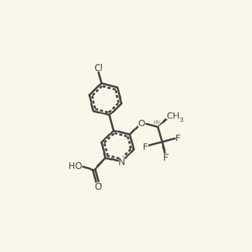 C[C@H](Oc1cnc(C(=O)O)cc1-c1ccc(Cl)cc1)C(F)(F)F